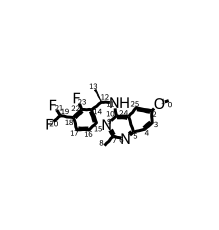 COc1ccc2nc(C)nc(N[C@H](C)c3cccc(C(F)F)c3F)c2c1